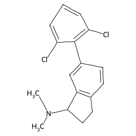 CN(C)C1CCc2ccc(-c3c(Cl)cccc3Cl)cc21